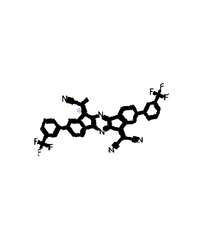 C/C(C#N)=C1/c2cc(-c3cccc(C(F)(F)F)c3)ccc2-c2nc3c(nc21)-c1ccc(-c2cccc(C(F)(F)F)c2)cc1C3=C(C#N)C#N